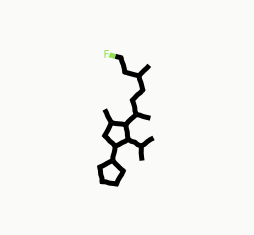 CC(CCF)CCC(C)C1C(C)CC(C2CCCC2)C1C(C)C